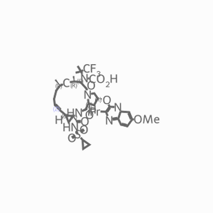 COc1ccc2nc(C(C)C)c(O[C@@H]3C[C@H]4C(=O)N[C@]5(C(=O)NS(=O)(=O)C6CC6)C[C@H]5/C=C\CC[C@@H](C)C[C@@H](C)[C@H](N(C(=O)O)C(C)(C)C(F)(F)F)C(=O)N4C3)nc2c1